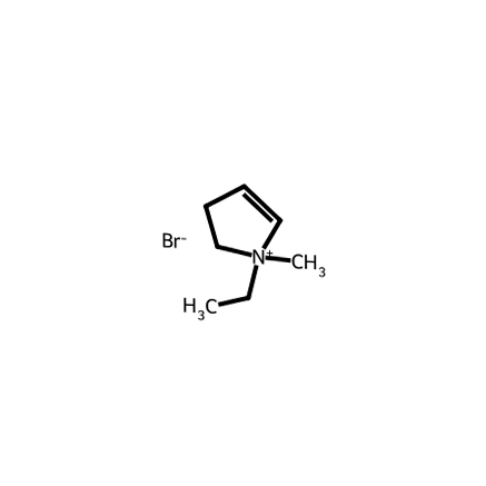 CC[N+]1(C)C=CCC1.[Br-]